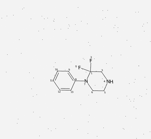 FC1(F)CNCCN1c1ccccc1